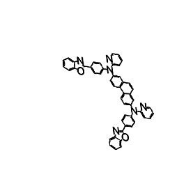 c1ccc(N(c2ccc(-c3nc4ccccc4o3)cc2)c2ccc3c(ccc4cc(N(c5ccc(-c6nc7ccccc7o6)cc5)c5ccccn5)ccc43)c2)nc1